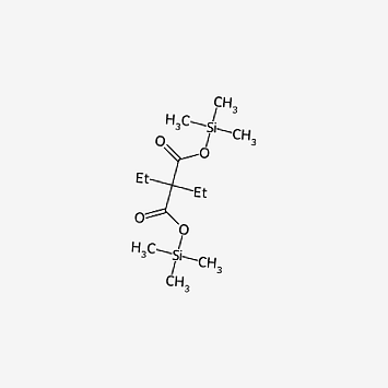 CCC(CC)(C(=O)O[Si](C)(C)C)C(=O)O[Si](C)(C)C